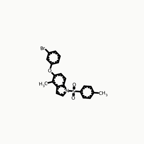 Cc1ccc(S(=O)(=O)n2ccc3c(C)c(Oc4cccc(Br)c4)ccc32)cc1